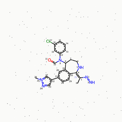 C/C(N=N)=C1/NCCC(N(C=O)c2cccc(Cl)c2)c2cc(-c3cnn(C)c3)ccc21